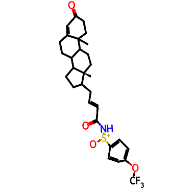 CC12CCC(=O)C=C1CCC1C2CC[C@]2(C)C(C/C=C/C(=O)N[S+]([O-])c3ccc(OC(F)(F)F)cc3)CCC12